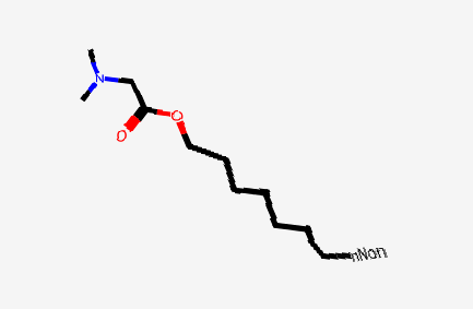 CCCCCCCCCCCCCCCCOC(=O)CN(C)C